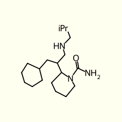 CC(C)CNCC(CC1CCCCC1)C1CCCCN1C(N)=O